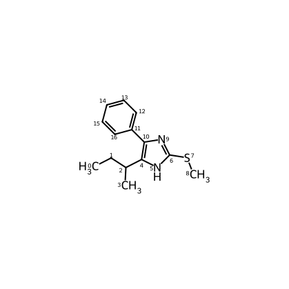 CCC(C)c1[nH]c(SC)nc1-c1ccccc1